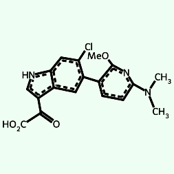 COc1nc(N(C)C)ccc1-c1cc2c(C(=O)C(=O)O)c[nH]c2cc1Cl